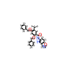 CC(C)c1cc(C(=O)Nc2ccc3oncc3c2)c(OCc2ccccc2)cc1OCc1ccccc1